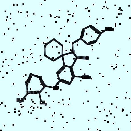 COc1ccc(CN2C(=O)c3c(OC)cc(Nc4ncnc(N)c4C)cc3C23CCCCC3)cc1